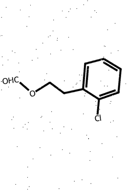 O=[C]OCCc1ccccc1Cl